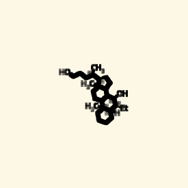 CC[C@H]1[C@H](O)C2C3CC[C@H]([C@H](C)CCCO)C3(C)CCC2[C@@]2(C)CCCC[C@@H]12